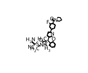 C=C(NC(=O)C(C)(C)[C@H]1c2ccccc2Oc2nc(-c3ccc(C(=O)N4CCCC4)c(F)c3)ccc21)S/C(C#N)=C\N